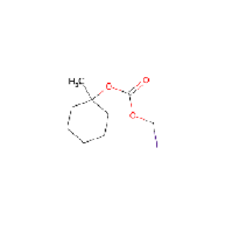 CC1(OC(=O)OCI)CCCCC1